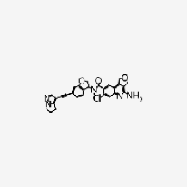 CN(C(=O)c1cc2c3c(c(N)nc2cc1Cl)COC3)[C@@H]1COc2cc(C#Cc3cnn4c3CCC4)ccc21